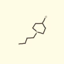 ClC1CCN(CCCI)CC1